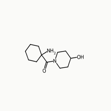 NC1(C(=O)N2CCC(O)CC2)CCCCC1